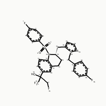 O=S(=O)(c1ccc(F)cc1)N1c2ccc(C(O)(CF)C(F)(F)F)cc2CC[C@H]1Cc1ccnn1Cc1ccc(F)cc1